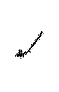 CCn1c(-c2ccc(/C=C/C(=O)OCCOCCOCCOCCOCCOCCOCCOC)cc2)nc2c1c(=O)[nH]c(=O)n2CC1CCCCC1